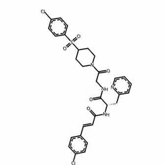 O=C(/C=C/c1ccc(Cl)cc1)N[C@@H](Cc1ccccn1)C(=O)NCC(=O)N1CCC(S(=O)(=O)c2ccc(Cl)cc2)CC1